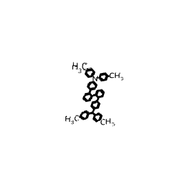 Cc1ccc(C(c2ccc(C)cc2)c2ccc(-c3ccccc3-c3ccccc3-c3ccc(N(c4ccc(C)cc4)c4ccc(C)cc4)cc3)cc2)cc1